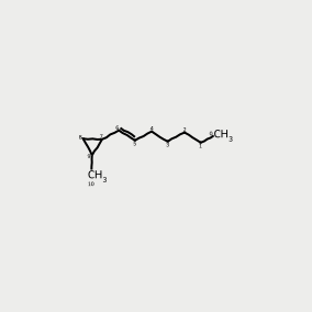 CCCCCC=CC1CC1C